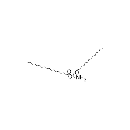 CCCCCCCCC=CCCCCCCCC(=O)OC(CN)COCCCCCCCCCCCCCC